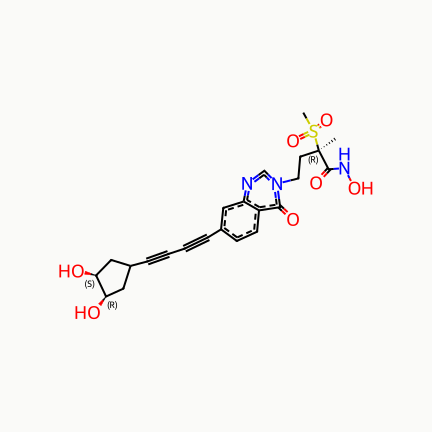 C[C@@](CCn1cnc2cc(C#CC#CC3C[C@@H](O)[C@@H](O)C3)ccc2c1=O)(C(=O)NO)S(C)(=O)=O